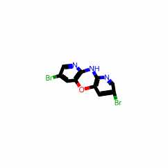 Brc1cnc2c(c1)Oc1cc(Br)cnc1N2